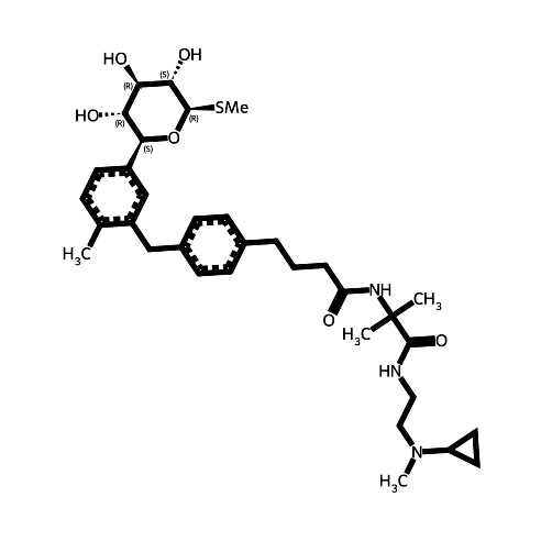 CS[C@H]1O[C@@H](c2ccc(C)c(Cc3ccc(CCCC(=O)NC(C)(C)C(=O)NCCN(C)C4CC4)cc3)c2)[C@H](O)[C@@H](O)[C@@H]1O